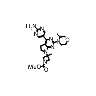 COC(=O)N1CC(C)(N2CCc3c(-c4cnc(N)nc4)nc(N4CCOC[C@@H]4C)nc32)C1